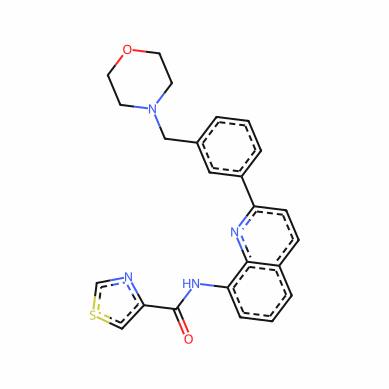 O=C(Nc1cccc2ccc(-c3cccc(CN4CCOCC4)c3)nc12)c1cscn1